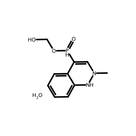 CN1C=C([PH](=O)OCO)c2ccccc2N1.O